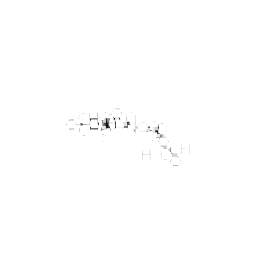 CC(C)(c1ccccc1)c1ccc(S(=O)(=O)Oc2ccc(NC(=O)Nc3ccccc3OS(=O)(=O)c3ccc(C(C)(C)c4ccccc4)cc3)cc2)cc1